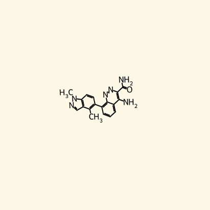 Cc1c(-c2cccc3c(N)c(C(N)=O)nnc23)ccc2c1cnn2C